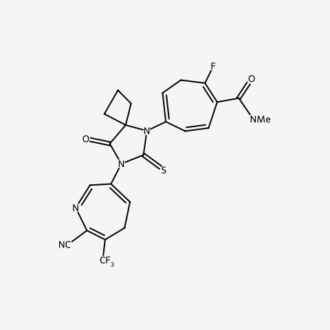 CNC(=O)C1=C(F)CC=C(N2C(=S)N(C3=CCC(C(F)(F)F)=C(C#N)N=C3)C(=O)C23CCC3)C=C1